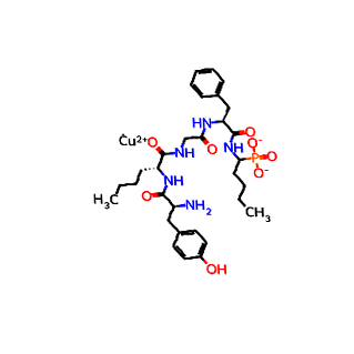 CCCCC(NC(=O)[C@H](Cc1ccccc1)NC(=O)CNC(=O)[C@@H](CCCC)NC(=O)[C@@H](N)Cc1ccc(O)cc1)P(=O)([O-])[O-].[Cu+2]